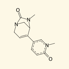 CN1C(=O)N2CC=C(c3ccc(=O)n(C)c3)C1C2